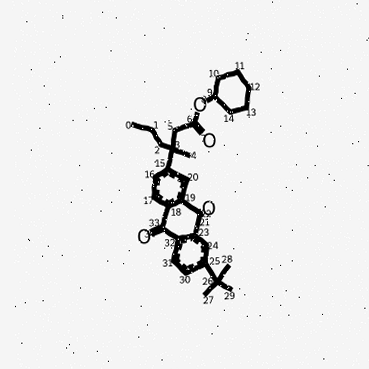 CCCC(C)(CC(=O)OC1CCCCC1)c1ccc2c(c1)C(=O)c1cc(C(C)(C)C)ccc1C2=O